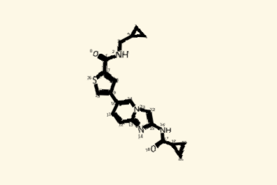 O=C(NCC1CC1)c1cc(-c2ccc3nc(NC(=O)C4CC4)cn3c2)cs1